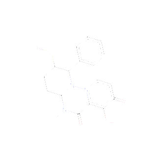 CN1C(=O)c2c(O)c(=O)ccn2N2C(c3ccccc3)C(SI)CCC12